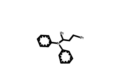 CC(C)CCC(C(C)C)N(c1ccccc1)c1ccccc1